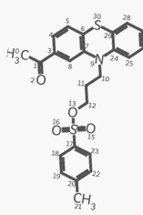 CC(=O)c1ccc2c(c1)N(CCCOS(=O)(=O)c1ccc(C)cc1)c1ccccc1S2